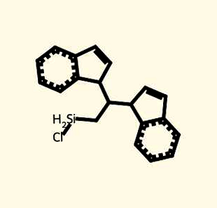 Cl[SiH2]CC(C1C=Cc2ccccc21)C1C=Cc2ccccc21